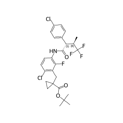 C[C@H]([C@H](C(=O)Nc1ccc(Cl)c(CC2(C(=O)OC(C)(C)C)CC2)c1F)c1ccc(Cl)cc1)C(F)(F)F